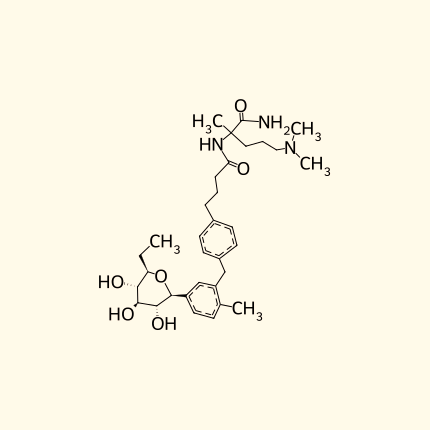 CC[C@H]1O[C@@H](c2ccc(C)c(Cc3ccc(CCCC(=O)NC(C)(CCCN(C)C)C(N)=O)cc3)c2)[C@H](O)[C@@H](O)[C@@H]1O